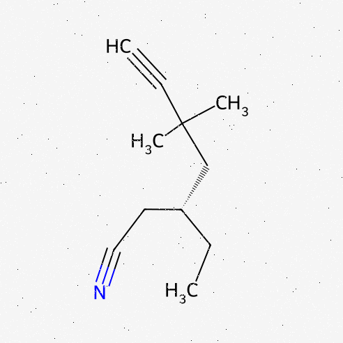 C#CC(C)(C)C[C@H](CC)CC#N